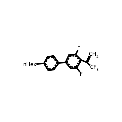 C=C(c1c(F)cc(-c2ccc(CCCCCC)cc2)cc1F)C(F)(F)F